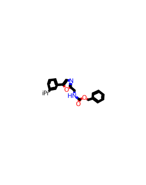 CC(C)c1cccc(-c2cnc(CNC(=O)OCc3ccccc3)o2)c1